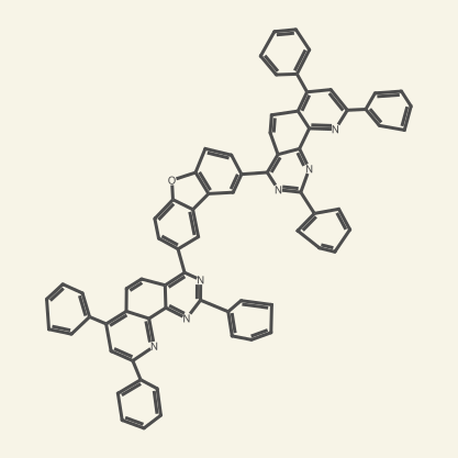 c1ccc(-c2cc(-c3ccccc3)c3ccc4c(-c5ccc6oc7ccc(-c8nc(-c9ccccc9)nc9c8ccc8c(-c%10ccccc%10)cc(-c%10ccccc%10)nc89)cc7c6c5)nc(-c5ccccc5)nc4c3n2)cc1